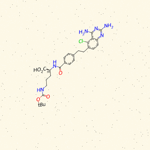 CC(C)(C)OC(=O)NCCC[C@H](NC(=O)c1ccc(CCc2ccc3nc(N)nc(N)c3c2Cl)cc1)C(=O)O